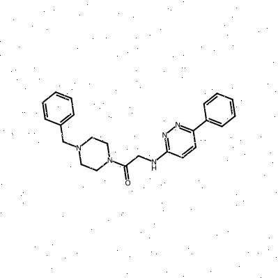 O=C(CNc1ccc(-c2ccccc2)nn1)N1CCN(Cc2ccccc2)CC1